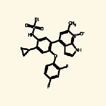 CCS(=O)(=O)Nc1cc(-c2cc(C)[n+]([O-])c3[nH]ccc23)c(Oc2ccc(F)cc2F)cc1C1CC1